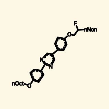 CCCCCCCCCC(F)COc1ccc(-c2cnc(-c3ccc(OCCCCCCCC)cc3)nc2)cc1